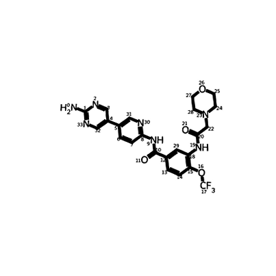 Nc1ncc(-c2ccc(NC(=O)c3ccc(OC(F)(F)F)c(NC(=O)CN4CCOCC4)c3)nc2)cn1